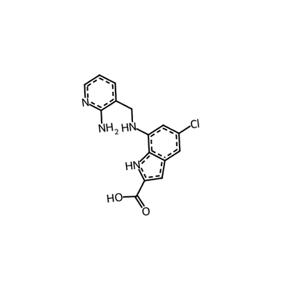 Nc1ncccc1CNc1cc(Cl)cc2cc(C(=O)O)[nH]c12